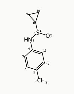 Cc1ccc(N[S+]([O-])C2CC2)cc1